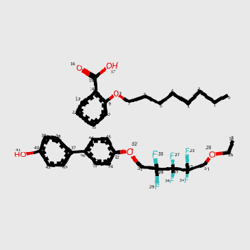 CCCCCCCCOc1ccccc1C(=O)O.CCOCC(F)(F)C(F)(F)C(F)(F)COc1ccc(-c2ccc(O)cc2)cc1